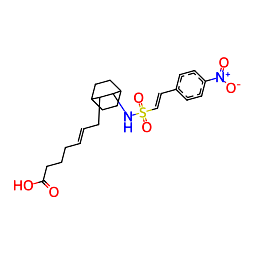 O=C(O)CCCC=CCC1C2CCC(CC2)C1NS(=O)(=O)C=Cc1ccc([N+](=O)[O-])cc1